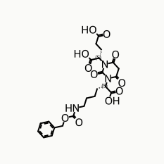 O=C(O)CC[C@@H](C(=O)O)N1C(=O)CC(=O)N([C@@H](CCCCNC(=O)OCc2ccccc2)C(=O)O)C1=O